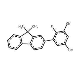 CC1(C)c2ccccc2-c2ccc(-c3cc(C#N)cc(C#N)c3F)cc21